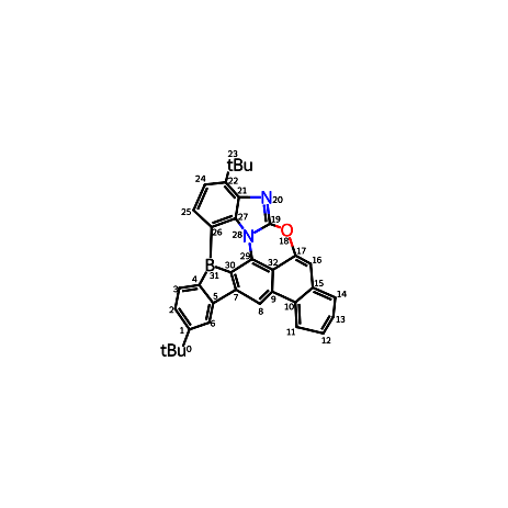 CC(C)(C)c1ccc2c(c1)-c1cc3c4ccccc4cc4oc5nc6c(C(C)(C)C)ccc7c6n5c(c1B27)c43